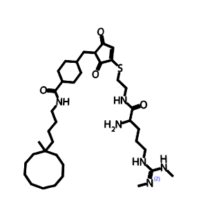 C/N=C(/NC)NCCCC(N)C(=O)NCCSC1=CC(=O)C(CC2CCC(C(=O)NCCCCC3(C)CCCCCCCCC3)CC2)C1=O